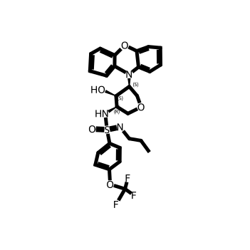 CCCN=S(=O)(N[C@@H]1COC[C@H](N2c3ccccc3Oc3ccccc32)[C@@H]1O)c1ccc(OC(F)(F)F)cc1